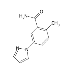 Cc1ccc(-n2cccn2)cc1C(N)=O